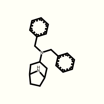 c1ccc(CN(Cc2ccccc2)C2CC3CCC(C2)N3)cc1